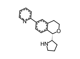 c1ccc(-c2ccc3c(c2)CCO[C@@H]3C2CCCN2)nc1